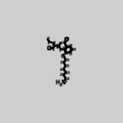 CCCC(C=O)N(C)Cc1c(C=O)cccc1SCCCCCCCN